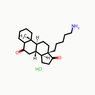 C[C@]12CCCCC1C(=O)C[C@H]1[C@@H]3CCC(=O)[C@@]3(CCCCCN)CC[C@@H]12.Cl